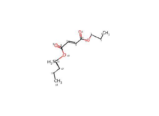 CCCOC(=O)C=CC(=O)O[SiH2]CCC